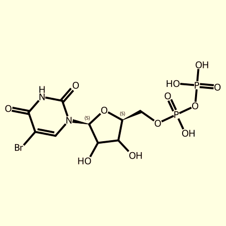 O=c1[nH]c(=O)n([C@H]2O[C@@H](COP(=O)(O)OP(=O)(O)O)C(O)C2O)cc1Br